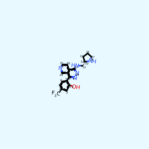 Oc1cc(C(F)(F)F)ccc1-c1nnc(NC[C@@H]2CCCN2)c2ccncc12